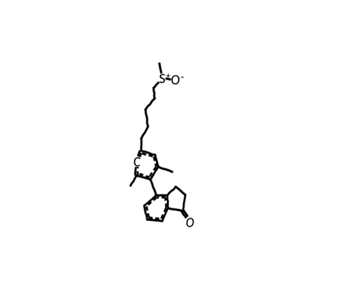 Cc1cc(CCCCC[S+](C)[O-])cc(C)c1-c1cccc2c1CCC2=O